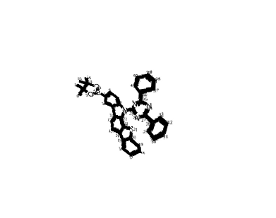 CC1(C)OB(c2ccc3c(c2)c2ccc4c5ccccc5sc4c2n3-c2nc(-c3ccccc3)nc(-c3ccccc3)n2)OC1(C)C